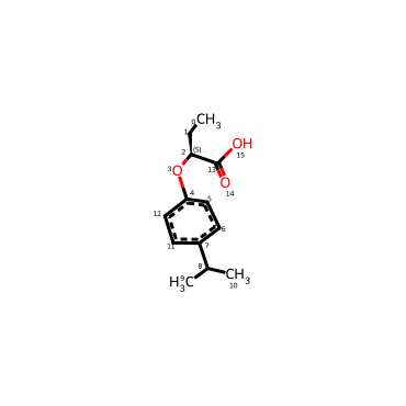 CC[C@H](Oc1ccc(C(C)C)cc1)C(=O)O